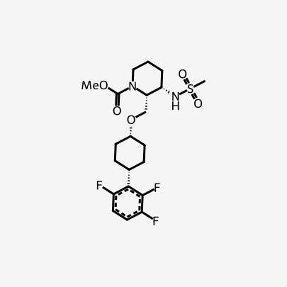 COC(=O)N1CCC[C@H](NS(C)(=O)=O)[C@@H]1CO[C@H]1CC[C@@H](c2c(F)ccc(F)c2F)CC1